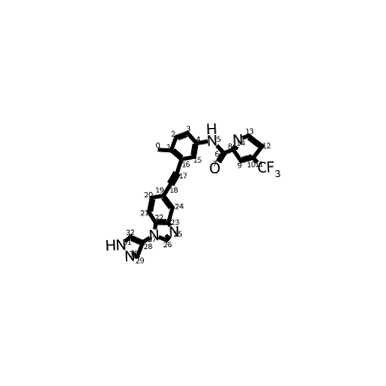 Cc1ccc(NC(=O)c2cc(C(F)(F)F)ccn2)cc1C#Cc1ccc2c(c1)ncn2-c1cn[nH]c1